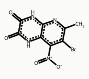 Cc1nc2[nH]c(=O)c(=O)[nH]c2c([N+](=O)[O-])c1Br